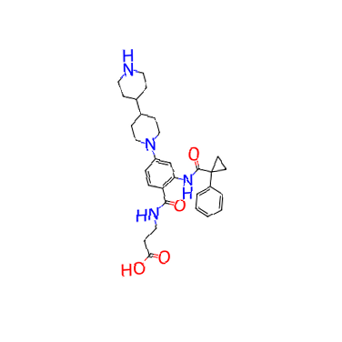 O=C(O)CCNC(=O)c1ccc(N2CCC(C3CCNCC3)CC2)cc1NC(=O)C1(c2ccccc2)CC1